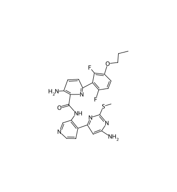 CCCOc1ccc(F)c(-c2ccc(N)c(C(=O)Nc3cnccc3-c3cc(N)nc(SC)n3)n2)c1F